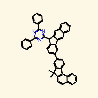 CC1(C)c2cc(-c3ccc4c(c3)-c3cc5ccccc5cc3C4c3nc(-c4ccccc4)nc(-c4ccccc4)n3)ccc2-c2c1ccc1ccccc21